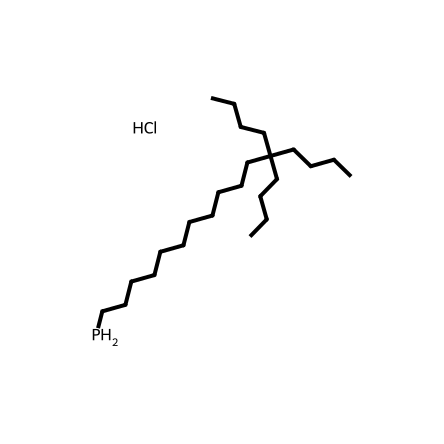 CCCCC(CCCC)(CCCC)CCCCCCCCCCCP.Cl